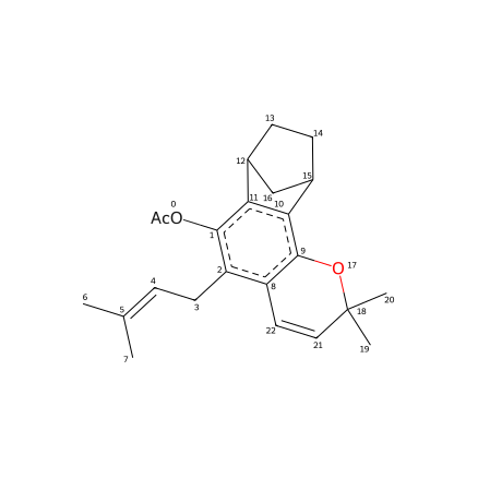 CC(=O)Oc1c(CC=C(C)C)c2c(c3c1C1CCC3C1)OC(C)(C)C=C2